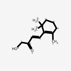 CC1=C(C=CC(=O)CO)C(C)(C)CCC1